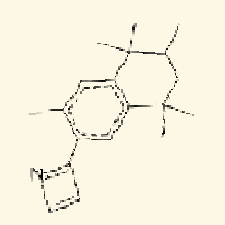 Cc1cc2c(cc1C1=NC=C1)C(C)(C)CC(C)C2(C)C